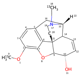 [13CH3]Oc1ccc2c3c1OC1[C@@H](O)C=CC4[C@@H](C2)N([13CH3])CC[C@@]341